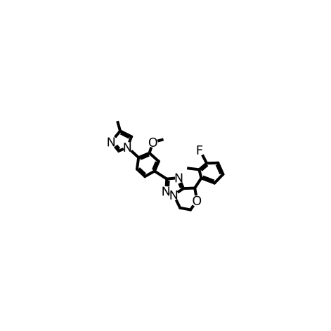 COc1cc(-c2nc3n(n2)CCOC3c2cccc(F)c2C)ccc1-n1cnc(C)c1